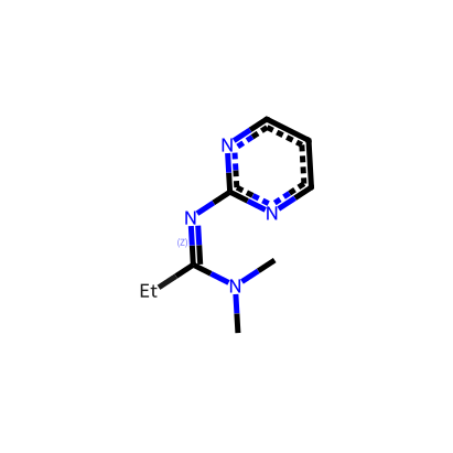 CC/C(=N/c1ncccn1)N(C)C